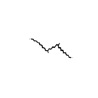 [CH2]CCCCC=CCCCCC(C)CCCCCC(C)CCCCCCCCC[CH2]